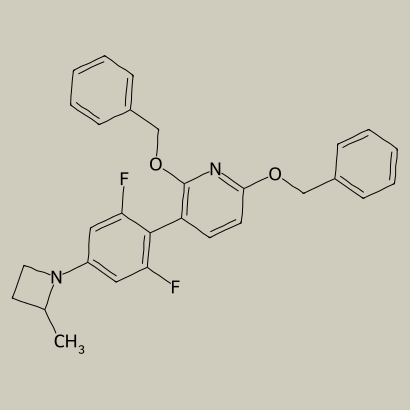 CC1CCN1c1cc(F)c(-c2ccc(OCc3ccccc3)nc2OCc2ccccc2)c(F)c1